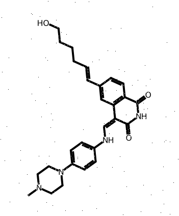 CN1CCN(c2ccc(NC=C3C(=O)NC(=O)c4ccc(C=CCCCCO)cc43)cc2)CC1